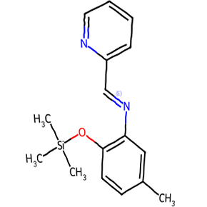 Cc1ccc(O[Si](C)(C)C)c(/N=C/c2ccccn2)c1